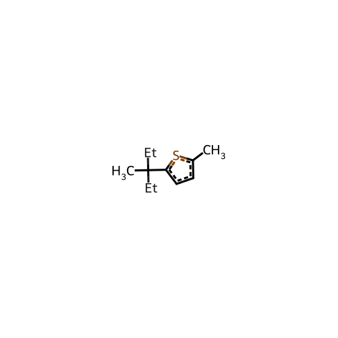 CCC(C)(CC)c1ccc(C)s1